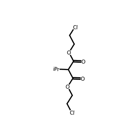 CC(C)C(C(=O)OCCCl)C(=O)OCCCl